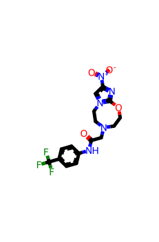 O=C(CN1CCOc2nc([N+](=O)[O-])cn2CC1)Nc1ccc(C(F)(F)F)cc1